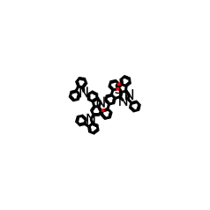 c1ccc(-c2nc(-c3cc(-c4ccccc4)c(-n4c5ccc(-n6c7ccccc7c7ccccc76)cc5c5cc(-n6c7ccccc7c7ccccc76)ccc54)cc3-c3ccccc3)c3sc4ccccc4c3n2)cc1